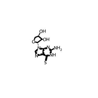 Nc1nc2c(ncn2[C@@H]2OC[C@@H](O)[C@H]2O)c(=S)[nH]1